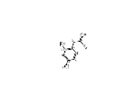 O=C(I)Cc1ccc(Cl)cc1F